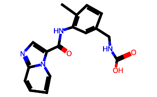 Cc1ccc(CNC(=O)O)cc1NC(=O)c1cnc2ccccn12